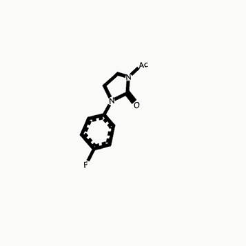 CC(=O)N1CCN(c2ccc(F)cc2)C1=O